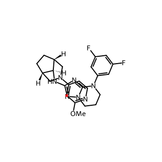 COc1cc(N2C[C@H]3CC[C@@H](C2)[C@@H]3Nc2nc3n(n2)CCCN3c2cc(F)cc(F)c2)ccn1